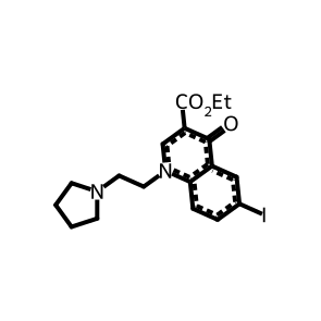 CCOC(=O)c1cn(CCN2CCCC2)c2ccc(I)cc2c1=O